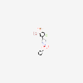 C[S@@+]([O-])c1cc(F)c(C2CCN(C(=O)OCc3ccccc3)CC2)cc1Br